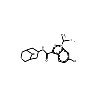 CC(C)n1nc(C(=O)NC2CC3COCC(C2)N3)c2ccc(O)cc21